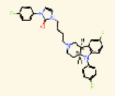 O=c1n(CCCCN2CC[C@@H]3[C@@H](C2)c2cc(F)ccc2N3c2ccc(F)cc2)ccn1-c1ccc(F)cc1